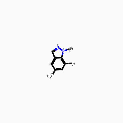 Cc1cc(C(C)C)c2c(cnn2C(C)C)c1